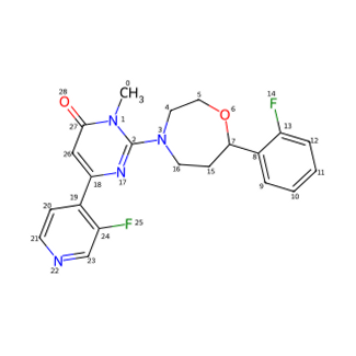 Cn1c(N2CCOC(c3ccccc3F)CC2)nc(-c2ccncc2F)cc1=O